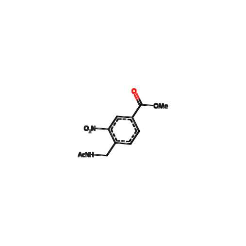 COC(=O)c1ccc(CNC(C)=O)c([N+](=O)[O-])c1